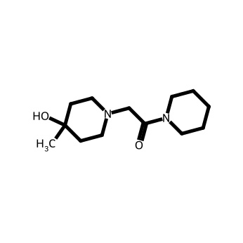 CC1(O)CCN(CC(=O)N2CCCCC2)CC1